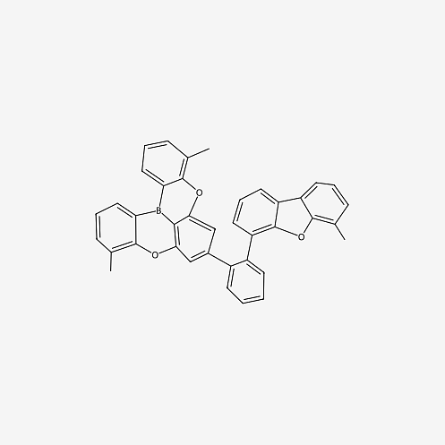 Cc1cccc2c1Oc1cc(-c3ccccc3-c3cccc4c3oc3c(C)cccc34)cc3c1B2c1cccc(C)c1O3